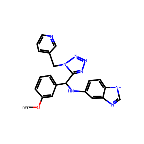 CCCOc1cccc(C(Nc2ccc3[nH]cnc3c2)c2nnnn2Cc2cccnc2)c1